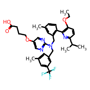 CCOc1ccc(C(C)C)nc1-c1ccc(C)cc1CN(Cc1cc(C)cc(C(F)(F)F)c1)c1ncc(OCCCC(=O)O)cn1